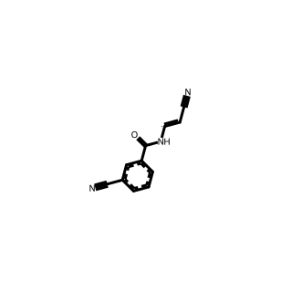 N#CC=[C]NC(=O)c1cccc(C#N)c1